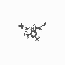 CCOC(=O)C(=O)c1cc(C(F)(F)F)cc(C(F)(F)F)c1NC(=O)OC(C)(C)C